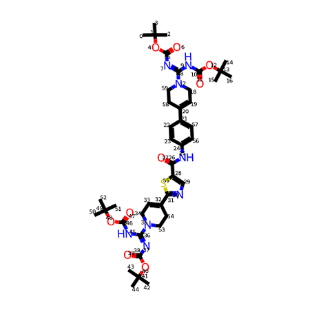 CC(C)(C)OC(=O)N=C(NC(=O)OC(C)(C)C)N1CC=C(c2ccc(NC(=O)c3cnc(C4=CCN(C(=NC(=O)OC(C)(C)C)NC(=O)OC(C)(C)C)CC4)s3)cc2)CC1